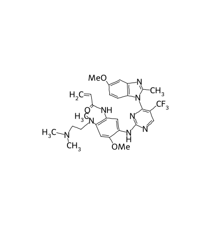 C=CC(=O)Nc1cc(Nc2ncc(C(F)(F)F)c(-n3c(C)nc4cc(OC)ccc43)n2)c(OC)cc1N(C)CCN(C)C